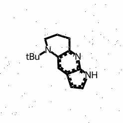 CC(C)(C)N1CCCc2nc3[nH]ccc3cc21